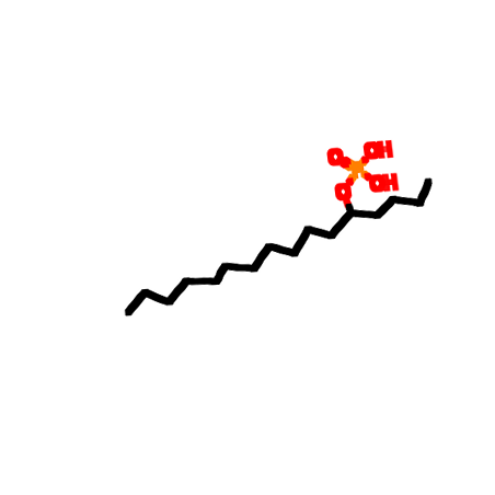 CCCCCCCCCCCC(CCCC)OP(=O)(O)O